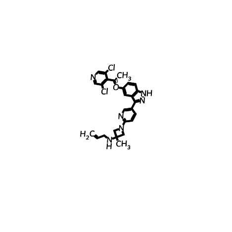 C=CCNC1(C)CN(c2ccc(-c3n[nH]c4ccc(O[C@H](C)c5c(Cl)cncc5Cl)cc34)cn2)C1